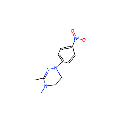 CC1=NN(c2ccc([N+](=O)[O-])cc2)CCN1C